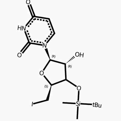 CC(C)(C)[Si](C)(C)OC1[C@@H](O)[C@H](n2ccc(=O)[nH]c2=O)O[C@@H]1CI